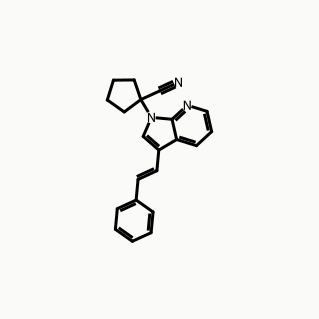 N#CC1(n2cc(C=Cc3ccccc3)c3cccnc32)CCCC1